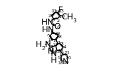 Cc1cc(NC(=O)Nc2ccc(-c3ccc(-c4ccncc4)c4[nH]nc(N)c34)cc2)ccc1F